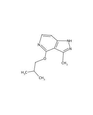 Cc1n[nH]c2ccnc(OCC(C)C)c12